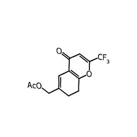 CC(=O)OCC1=Cc2c(oc(C(F)(F)F)cc2=O)CC1